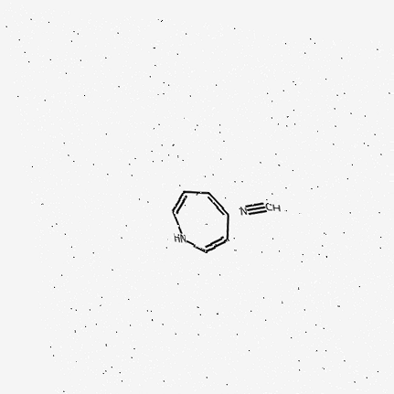 C#N.C1=CC=CNC=C1